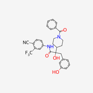 N#Cc1ccc(NC(=O)C(O)(Cc2cccc(O)c2)C2CCN(C(=O)c3ccccc3)CC2)cc1C(F)(F)F